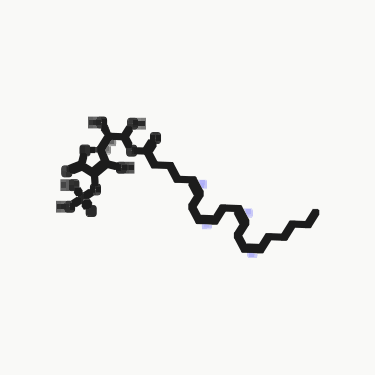 CCCCC/C=C\C/C=C\C/C=C\C/C=C\CCCC(=O)OC(O)[C@H](O)[C@H]1OC(=O)C(OP(=O)(O)O)=C1O